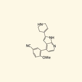 COc1ccc(C#N)cc1-c1ccnc2[nH]c(C3=CCNCC3)cc12